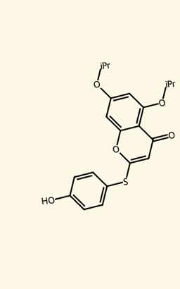 CC(C)Oc1cc(OC(C)C)c2c(=O)cc(Sc3ccc(O)cc3)oc2c1